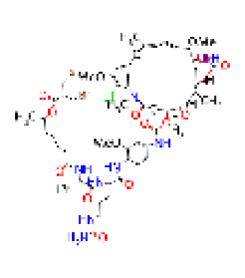 COc1cc(NC(=O)O[C@H]2CC(=O)N(C)c3cc(cc(OC)c3Cl)C/C(C)=C/C=C/[C@@H](OC)[C@@]3(O)C[C@H](OC(=O)N3)[C@@H](C)[C@@H]3O[C@@]23C)ccc1NC(=O)[C@H](CCCNC(N)=O)NC(=O)[C@@H](NC(=O)CCCCC(C)OC(=O)C(CBr)CBr)C(C)C